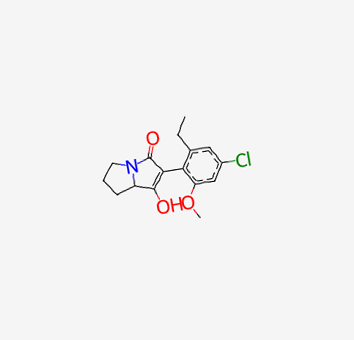 CCc1cc(Cl)cc(OC)c1C1=C(O)C2CCCN2C1=O